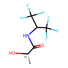 C[C@H](O)C(=O)NC(C(F)(F)F)C(F)(F)F